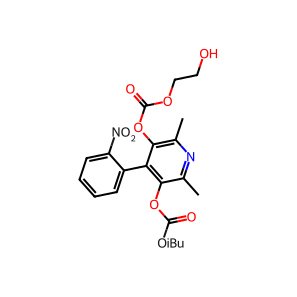 Cc1nc(C)c(OC(=O)OCC(C)C)c(-c2ccccc2[N+](=O)[O-])c1OC(=O)OCCO